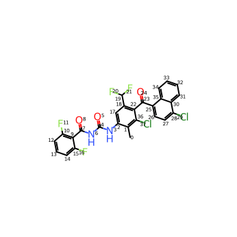 Cc1c(NC(=O)NC(=O)c2c(F)cccc2F)cc(C(F)F)c(C(=O)c2ccc(Cl)c3ccccc23)c1Cl